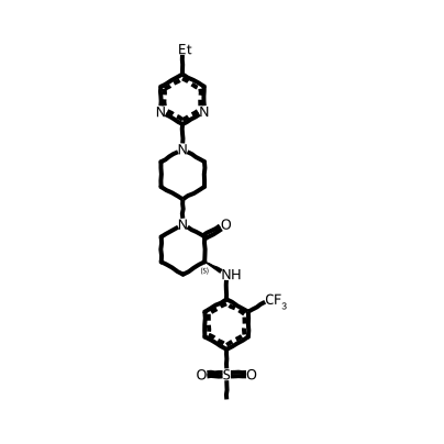 CCc1cnc(N2CCC(N3CCC[C@H](Nc4ccc(S(C)(=O)=O)cc4C(F)(F)F)C3=O)CC2)nc1